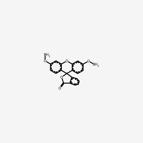 BOc1ccc2c(c1)Oc1cc(OB)ccc1C21OC(=O)c2ccccc21